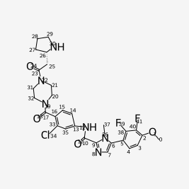 COc1ccc(-c2cnc(C(=O)Nc3ccc(C(=O)N4CCN(C(=O)C[C@@H]5CCCN5)CC4)c(Cl)c3)n2C)c(F)c1F